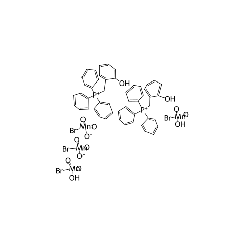 Oc1ccccc1C[P+](c1ccccc1)(c1ccccc1)c1ccccc1.Oc1ccccc1C[P+](c1ccccc1)(c1ccccc1)c1ccccc1.[O]=[Mn](=[O])([O-])[Br].[O]=[Mn](=[O])([O-])[Br].[O]=[Mn](=[O])([OH])[Br].[O]=[Mn](=[O])([OH])[Br]